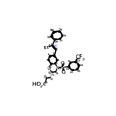 CC/C(=C\c1ccc2c(c1)N(S(=O)(=O)c1cccc(C(F)(F)F)c1)C[C@H](CCC(=O)O)O2)c1ccccc1